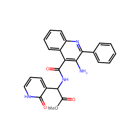 COC(=O)C(NC(=O)c1c(N)c(-c2ccccc2)nc2ccccc12)c1ccc[nH]c1=O